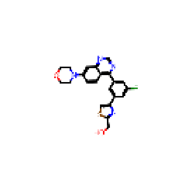 OCc1nc(-c2cc(F)cc(-c3ncnc4cc(N5CCOCC5)ccc34)c2)cs1